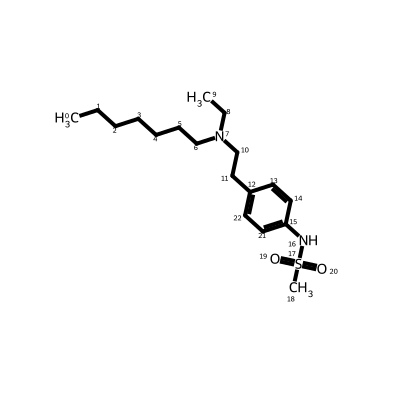 CCCCCCCN(CC)CCc1ccc(NS(C)(=O)=O)cc1